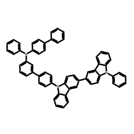 c1ccc(-c2ccc(N(c3ccccc3)c3cccc(-c4ccc(-n5c6ccccc6c6cc(-c7ccc8c(c7)c7ccccc7n8-c7ccccc7)ccc65)cc4)c3)cc2)cc1